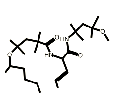 CC=CC(NC(=O)C(C)(C)CC(C)(C)OC(C)CCCC)C(=O)NC(C)(C)CC(C)(C)OC